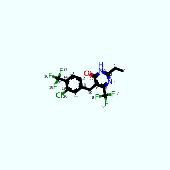 CCc1nc(C(F)(F)F)c(Cc2ccc(C(F)(F)F)c(Cl)c2)c(=O)[nH]1